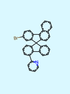 Brc1ccc2c(c1)C1(c3ccccc3-c3c(-c4ccccn4)cccc31)c1ccc3ccccc3c1-2